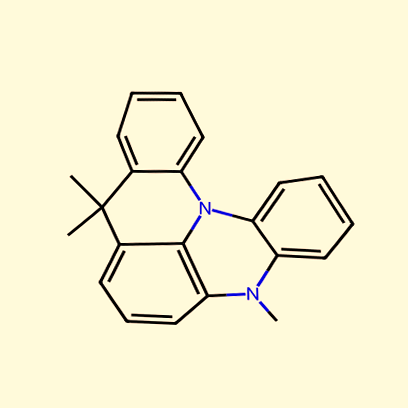 CN1c2ccccc2N2c3ccccc3C(C)(C)c3cccc1c32